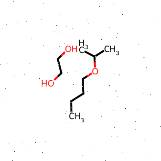 CCCCOC(C)C.OCCO